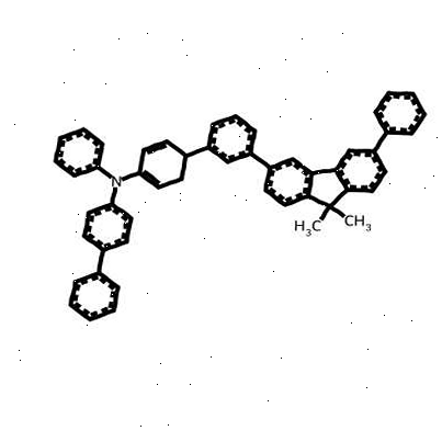 CC1(C)c2ccc(-c3ccccc3)cc2-c2cc(-c3cccc(C4C=CC(N(c5ccccc5)c5ccc(-c6ccccc6)cc5)=CC4)c3)ccc21